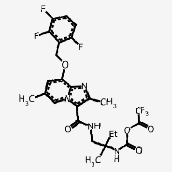 CCC(C)(CNC(=O)c1c(C)nc2c(OCc3c(F)ccc(F)c3F)cc(C)cn12)NC(=O)OC(=O)C(F)(F)F